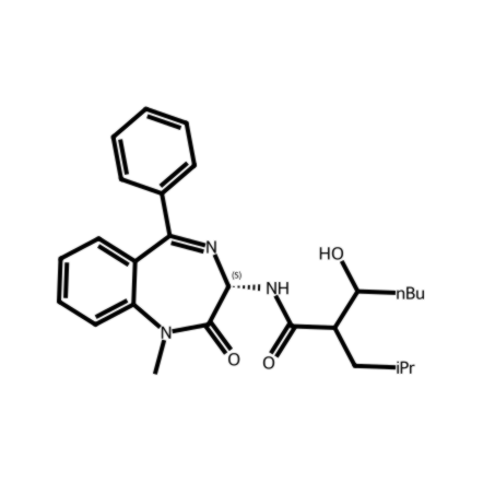 CCCCC(O)C(CC(C)C)C(=O)N[C@H]1N=C(c2ccccc2)c2ccccc2N(C)C1=O